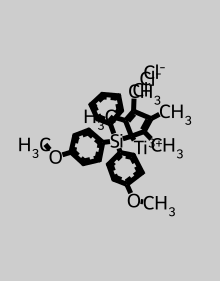 COc1ccc([Si](c2ccccc2)(c2ccc(OC)cc2)[C]2([Ti+3])C(C)=C(C)C(C)=C2C)cc1.[Cl-].[Cl-].[Cl-]